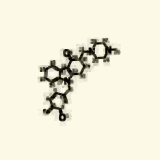 C=C(C=O)/C=C\C(=C)Cn1c2c(c3ccccc31)C(=O)C(CN1CCN(C)CC1)CC2